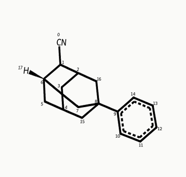 N#CC1C2CC3C[C@H]1CC(c1ccccc1)(C3)C2